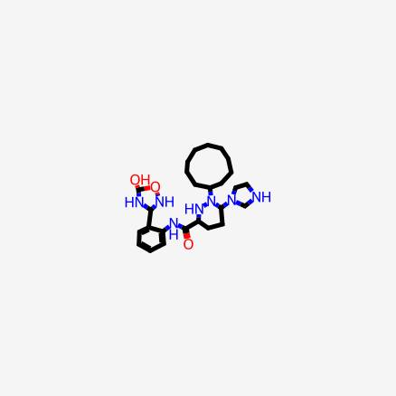 O=C(Nc1ccccc1C1NOC(O)N1)C1CCC(N2CCNC2)N(C2CCCCCCCCC2)N1